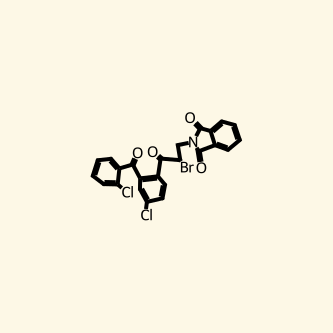 O=C(c1ccccc1Cl)c1cc(Cl)ccc1C(=O)C(Br)CN1C(=O)c2ccccc2C1=O